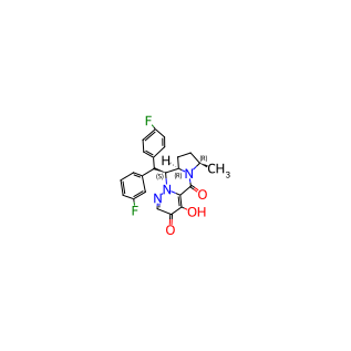 C[C@@H]1CC[C@@H]2[C@H](C(c3ccc(F)cc3)c3cccc(F)c3)n3ncc(=O)c(O)c3C(=O)N12